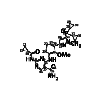 COc1c(Nc2nc(NC(=O)C3CC3)ncc2C(N)=O)cccc1-c1cc(P(=O)(C2CC2)C2CC2)n(C)n1